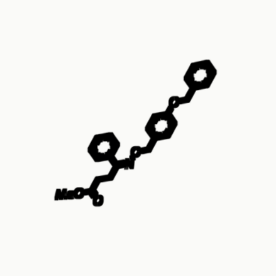 COC(=O)CCC(=NOCc1ccc(OCc2ccccc2)cc1)c1ccccc1